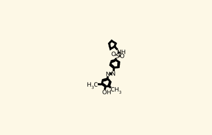 Cc1cc(N=Nc2ccc(S(=O)(=O)NC3CCCC3)cc2)cc(C)c1O